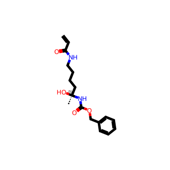 C=CC(=O)NCCCC[C@](C)(O)NC(=O)OCc1ccccc1